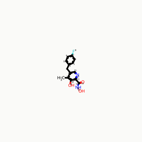 Cc1c(Cc2ccc(F)cc2)cnc(C(=O)NO)c1O